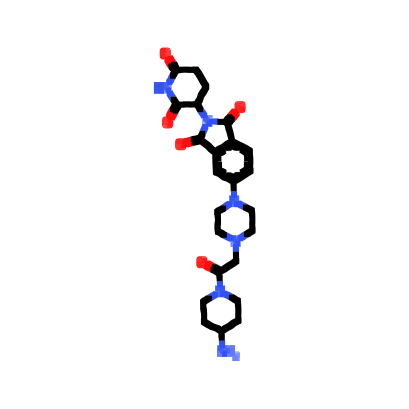 NC1CCN(C(=O)CN2CCN(c3ccc4c(c3)C(=O)N(C3CCC(=O)NC3=O)C4=O)CC2)CC1